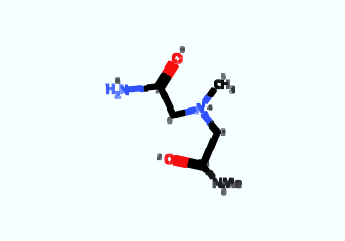 CNC(=O)CN(C)CC(N)=O